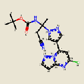 CC(C)(C)OC(=O)NC(C)(CC#N)n1cc(-c2cc(Cl)nc3ccnn23)cn1